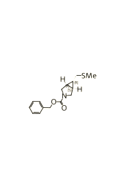 CSC[C@@H]1[C@H]2CN(C(=O)OCc3ccccc3)C[C@@H]12